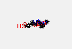 O=C(O)CC1CCC(c2ccc(NC(=O)c3nnc(Nc4ccccc4OCc4ccccc4)o3)cc2)CC1